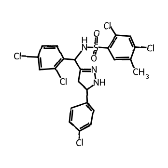 Cc1cc(S(=O)(=O)NC(C2=NNC(c3ccc(Cl)cc3)C2)c2ccc(Cl)cc2Cl)c(Cl)cc1Cl